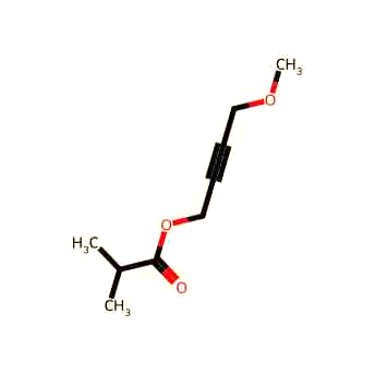 COCC#CCOC(=O)C(C)C